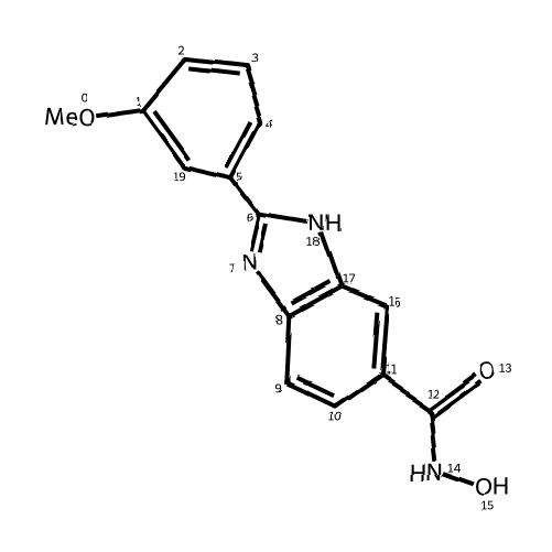 COc1cccc(-c2nc3ccc(C(=O)NO)cc3[nH]2)c1